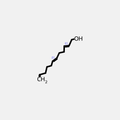 C=CCCC/C=C/CC/C=C/CO